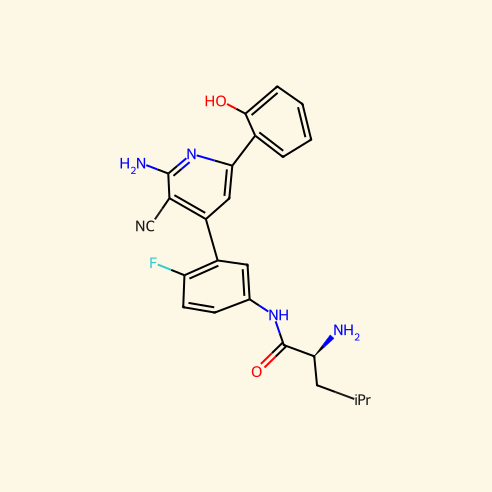 CC(C)C[C@H](N)C(=O)Nc1ccc(F)c(-c2cc(-c3ccccc3O)nc(N)c2C#N)c1